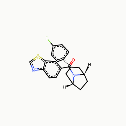 O=C(c1ccc2ncsc2c1)N1[C@@H]2CC[C@H]1C[C@@H](c1ccc(F)cc1)C2